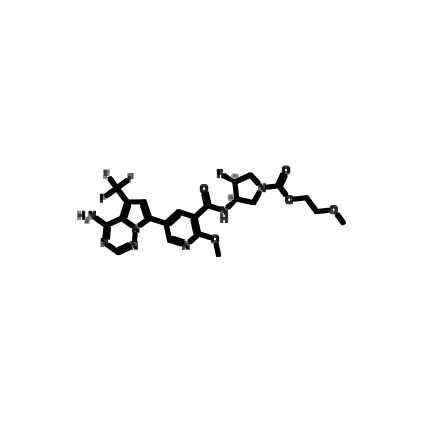 COCCOC(=O)N1C[C@H](F)[C@H](NC(=O)c2cc(-c3cc(C(F)(F)F)c4c(N)ncnn34)cnc2OC)C1